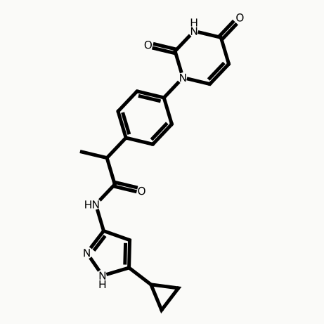 CC(C(=O)Nc1cc(C2CC2)[nH]n1)c1ccc(-n2ccc(=O)[nH]c2=O)cc1